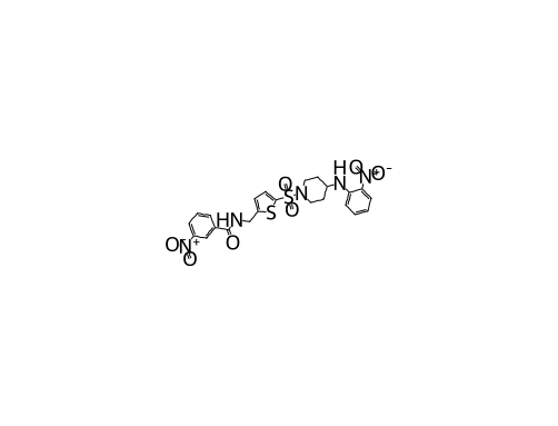 O=C(NCc1ccc(S(=O)(=O)N2CCC(Nc3ccccc3[N+](=O)[O-])CC2)s1)c1cccc([N+](=O)[O-])c1